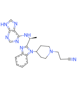 C[C@H](Nc1ncnc2[nH]cnc12)c1nc2ccccc2n1C1CCN(CCC#N)CC1